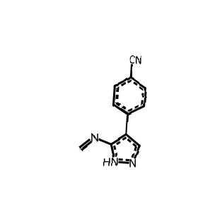 C=Nc1[nH]ncc1-c1ccc(C#N)cc1